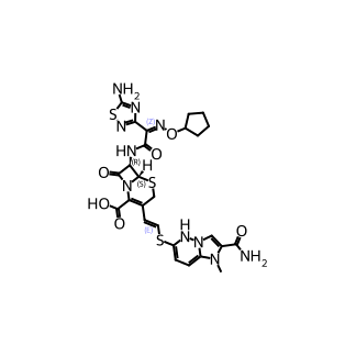 CN1C(C(N)=O)=CN2NC(S/C=C/C3=C(C(=O)O)N4C(=O)[C@@H](NC(=O)/C(=N\OC5CCCC5)c5nsc(N)n5)[C@@H]4SC3)=CC=C21